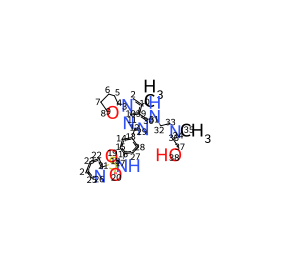 Cc1cn(C2CCCCO2)c2nc(-c3ccc(NS(=O)(=O)c4ccccn4)cc3)nc(NCCN(C)CCO)c12